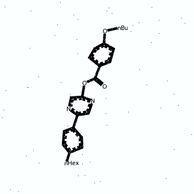 CCCCCCc1ccc(-c2cnc(OC(=O)c3ccc(OCCCC)cc3)cn2)cc1